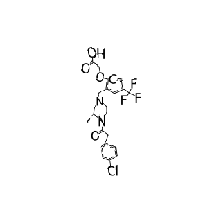 C[C@H]1CN(Cc2cc(C(F)(F)F)ccc2OCC(=O)O)CCN1C(=O)Cc1ccc(Cl)cc1